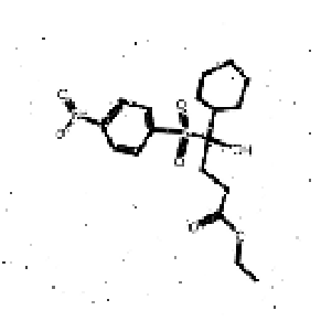 CCOC(=O)CCC(O)(C1CCCCC1)S(=O)(=O)c1ccc([N+](=O)[O-])cc1